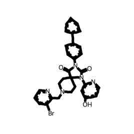 O=C1N(c2ccc(-c3ccccc3)cc2)C(=O)C2(CCN(Cc3ncccc3Br)CC2)N1c1cc(O)ccn1